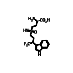 N=S(=O)(CCC(c1c[nH]c2ccccc12)C(F)(F)F)CC[C@H](N)C(=O)O